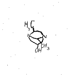 CC1CN2CC(O)CN1CC2C